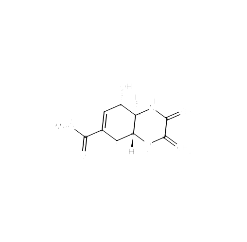 C=C1O[C@@H]2CC(C(=O)OC)=C[C@H](O)[C@H]2NC1=O